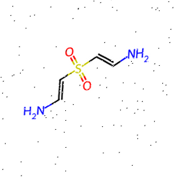 N/C=C/S(=O)(=O)/C=C/N